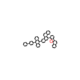 c1ccc(-c2ccc(-c3c4ccccc4c(-c4ccc5cc(-c6cccc7c6oc6c8ccccc8ccc76)c6c7ccccc7ccc6c5c4)c4ccccc34)cc2)cc1